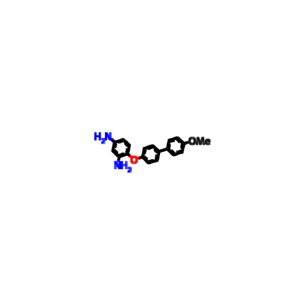 COc1ccc(-c2ccc(Oc3ccc(N)cc3N)cc2)cc1